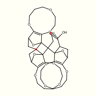 CCC(C12CCC(O1)C1=C2OCCOCCCO1)(C12CCC(O1)C1=C2OCCOCCCO1)C12OC(CC1C(=O)O)C1=C2OCCOCCCO1